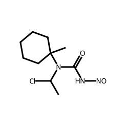 CC(Cl)N(C(=O)NN=O)C1(C)CCCCC1